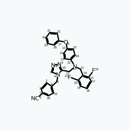 N#Cc1ccc(Cn2cnnc2CN(Cc2c(F)cccc2F)c2ccc(Oc3ccccc3)cc2)cc1